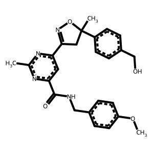 COc1ccc(CNC(=O)c2cc(C3=NOC(C)(c4ccc(CO)cc4)C3)nc(C)n2)cc1